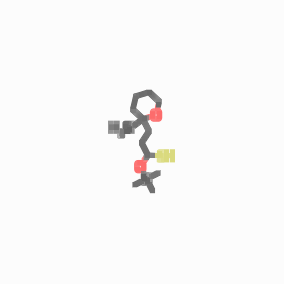 C[Si](C)(C)OC(S)CCC1([SiH3])CCCCO1